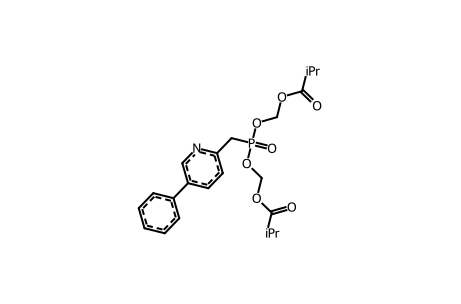 CC(C)C(=O)OCOP(=O)(Cc1ccc(-c2ccccc2)cn1)OCOC(=O)C(C)C